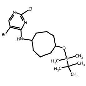 CC(C)(C)[Si](C)(C)OC1CCCC(Nc2nc(Cl)ncc2Br)CCC1